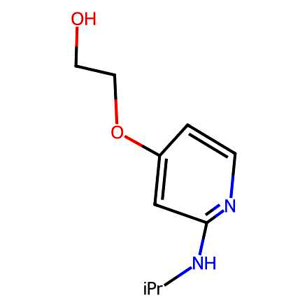 CC(C)Nc1cc(OCCO)ccn1